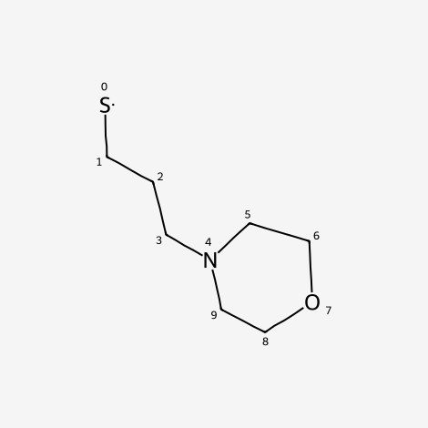 [S]CCCN1CCOCC1